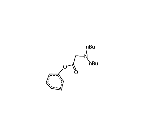 CCCCN(CCCC)CC(=O)Oc1ccccc1